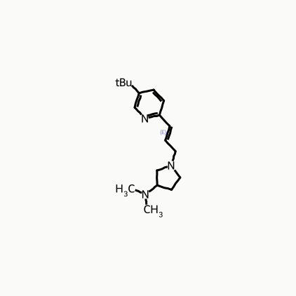 CN(C)C1CCN(C/C=C/c2ccc(C(C)(C)C)cn2)C1